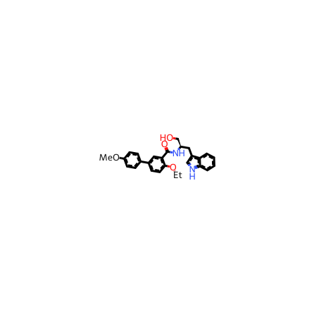 CCOc1ccc(-c2ccc(OC)cc2)cc1C(=O)N[C@@H](CO)Cc1c[nH]c2ccccc12